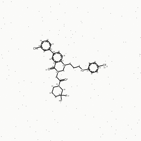 O=C(CN1CN(CCCOc2ccc(C(F)(F)F)cc2)c2ccc(-c3cccc(Cl)c3)cc2C1=O)N1CCCC(F)(F)C1